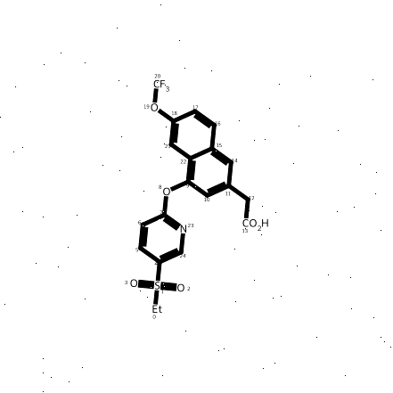 CCS(=O)(=O)c1ccc(Oc2cc(CC(=O)O)cc3ccc(OC(F)(F)F)cc23)nc1